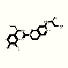 CC[C@@H](NC(=O)N1CCc2cnc(N[C@@H](C)CO)cc2C1)c1ccc(Cl)c(Cl)c1